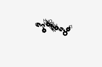 O=[N+]([O-])c1cc(S(=O)(=O)Nc2ncnc3cc(N4CCN(CC5=C(c6ccc(Cl)cc6)CCCCC5)CC4)ccc23)ccc1NC(CCN1CCOCC1)CSc1ccccc1